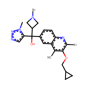 CCc1nc2ccc(C(O)(c3cnnn3C)C3CN(C(C)=O)C3)cc2c(C#N)c1OCC1CC1